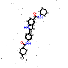 CC1CCC(C(=O)Nc2ccc(-c3cc4cc(C(=O)NC5CCCCC5)ccc4[nH]3)cc2)CC1